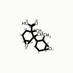 CC1C2OC2CCC1C1(C)C2OC2CCC1(C)C(=O)O